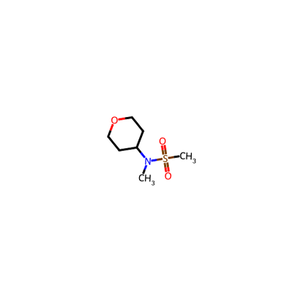 CN(C1CCOCC1)S(C)(=O)=O